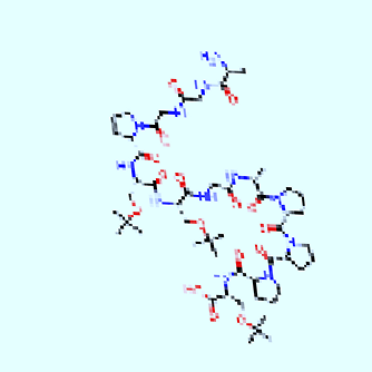 C[C@H](N)C(=O)NCC(=O)NCC(=O)N1CCC[C@H]1C(=O)N[C@@H](COC(C)(C)C)C(=O)N[C@@H](COC(C)(C)C)C(=O)NCC(=O)N[C@@H](C)C(=O)N1CCC[C@H]1C(=O)N1CCC[C@H]1C(=O)N1CCC[C@H]1C(=O)N[C@@H](COC(C)(C)C)C(=O)O